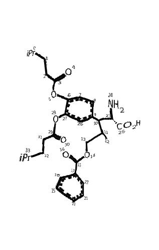 CC(C)CCC(=O)Oc1ccc(C(C(C)COC(=O)c2ccccc2)[C@H](N)C(=O)O)cc1OC(=O)CCC(C)C